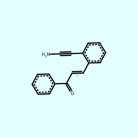 NC#Cc1ccccc1/C=C/C(=O)c1ccccc1